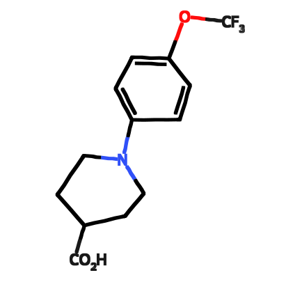 O=C(O)C1CCN(c2ccc(OC(F)(F)F)cc2)CC1